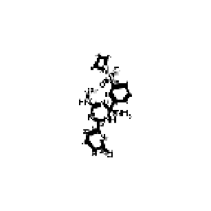 CC(C)NC1=NC(N)(c2cccc(S(=O)(=O)N3CCC3)c2)NC(c2cccc(Cl)n2)=N1